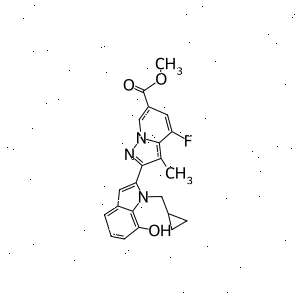 COC(=O)c1cc(F)c2c(C)c(-c3cc4cccc(O)c4n3CC3CC3)nn2c1